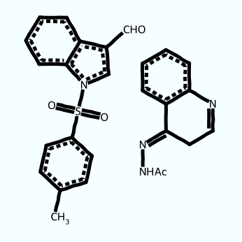 CC(=O)NN=C1CC=Nc2ccccc21.Cc1ccc(S(=O)(=O)n2cc(C=O)c3ccccc32)cc1